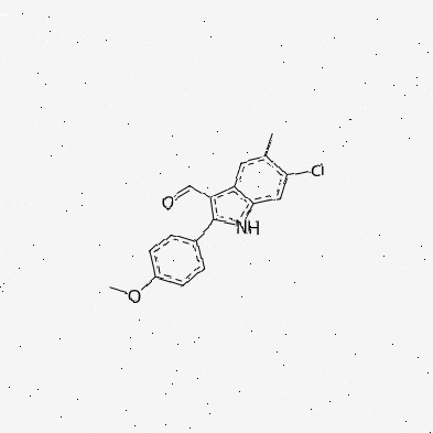 COc1ccc(-c2[nH]c3cc(Cl)c(C)cc3c2C=O)cc1